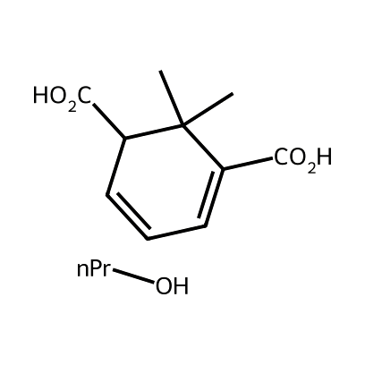 CC1(C)C(C(=O)O)=CC=CC1C(=O)O.CCCO